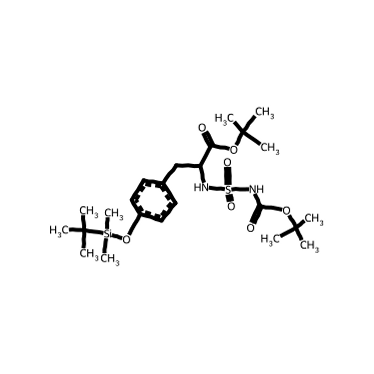 CC(C)(C)OC(=O)NS(=O)(=O)NC(Cc1ccc(O[Si](C)(C)C(C)(C)C)cc1)C(=O)OC(C)(C)C